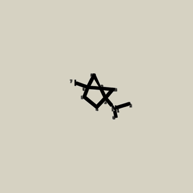 CN(C)C12CCC3(I)C[C@]31C2